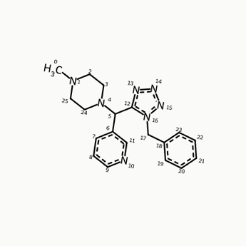 CN1CCN(C(c2cccnc2)c2nnnn2Cc2ccccc2)CC1